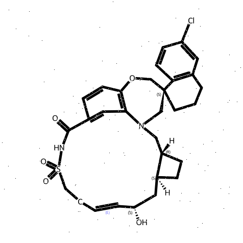 O=C1NS(=O)(=O)CC/C=C/[C@@H](O)C[C@@H]2CC[C@H]2CN2C[C@@]3(CCCc4cc(Cl)ccc43)COc3ccc1cc32